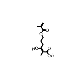 C=C(C)C(=O)OCCCC(O)=C(C)C(=O)O